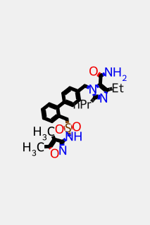 CCCc1nc(CC)c(C(N)=O)n1Cc1ccc(-c2ccccc2CS(=O)(=O)Nc2noc(C)c2C)cc1